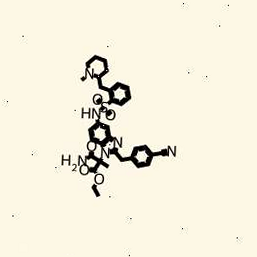 CCOC(=O)C(C)(C(N)=O)n1c(Cc2ccc(C#N)cc2)nc2cc(NS(=O)(=O)c3ccccc3CC3CCCCN3C)ccc21